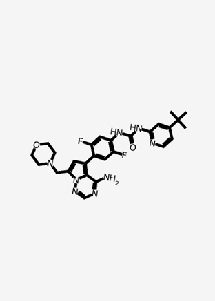 CC(C)(C)c1ccnc(NC(=O)Nc2cc(F)c(-c3cc(CN4CCOCC4)n4ncnc(N)c34)cc2F)c1